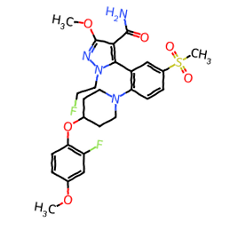 COc1ccc(OC2CCN(c3ccc(S(C)(=O)=O)cc3-c3c(C(N)=O)c(OC)nn3CCF)CC2)c(F)c1